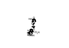 Cc1c(O)c(=O)ccn1CC(=O)N1CC(Oc2ccc3c(c2C(=O)O)C[B-](O)(O)[C@@H]2C[C@H]32)C1